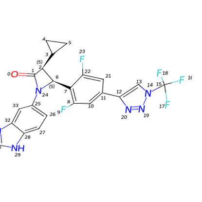 O=C1[C@@H](C2CC2)[C@@H](c2c(F)cc(-c3cn(C(F)(F)F)nn3)cc2F)N1c1ccc2[nH]cnc2c1